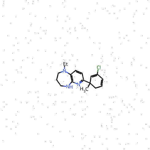 CCN1CCCNc2nc(C3(C)C=C(Cl)C=CC3)ccc21